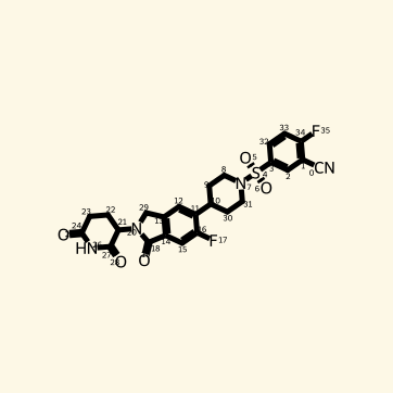 N#Cc1cc(S(=O)(=O)N2CCC(c3cc4c(cc3F)C(=O)N(C3CCC(=O)NC3=O)C4)CC2)ccc1F